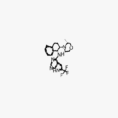 C[C@@H]1COCCN1[C@@H]1CCc2ccccc2[C@H]1Nc1ncnc2[nH]c(C(F)(F)F)cc12